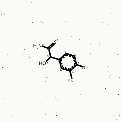 NC(=S)C(O)c1ccc(Cl)c(Cl)c1